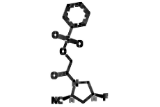 N#C[C@@H]1C[C@H](F)CN1C(=O)COS(=O)(=O)c1ccccc1